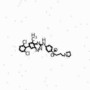 Cc1cc(-c2c(Cl)cccc2Cl)cc2nnc(Nc3ccc(S(=O)(=O)CCCN4CCCC4)cc3)nc12